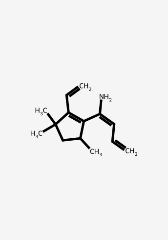 C=C/C=C(/N)C1=C(C=C)C(C)(C)CC1C